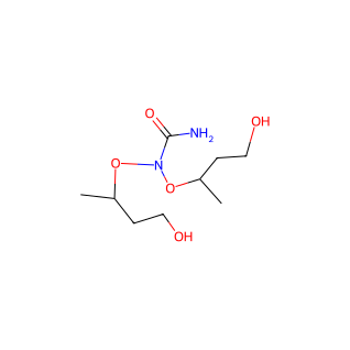 CC(CCO)ON(OC(C)CCO)C(N)=O